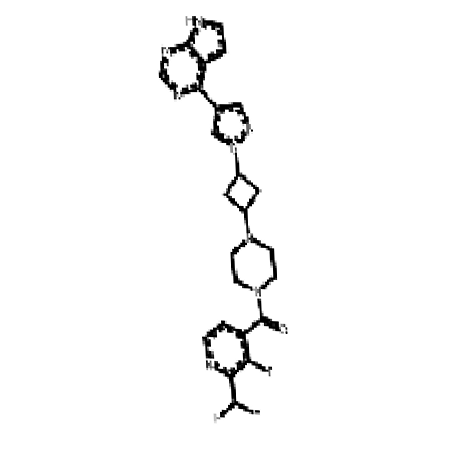 O=C(c1ccnc(C(F)F)c1F)N1CCN(C2C[C](n3cc(-c4ncnc5[nH]ccc45)cn3)C2)CC1